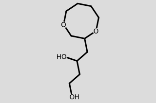 OCCC(O)CC1COCCCCO1